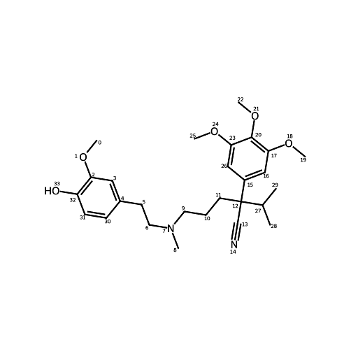 COc1cc(CCN(C)CCCC(C#N)(c2cc(OC)c(OC)c(OC)c2)C(C)C)ccc1O